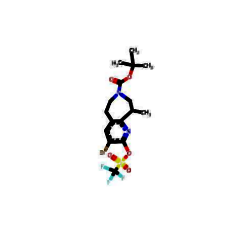 CC1CN(C(=O)OC(C)(C)C)CCc2cc(Br)c(OS(=O)(=O)C(F)(F)F)nc21